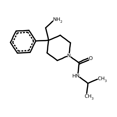 CC(C)NC(=O)N1CCC(CN)(c2ccccc2)CC1